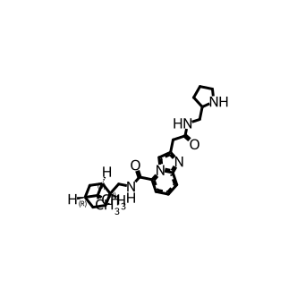 CC1(C)[C@@H]2CC[C@@H](CNC(=O)c3cccc4nc(CC(=O)NCC5CCCN5)cn34)[C@@H]1C2